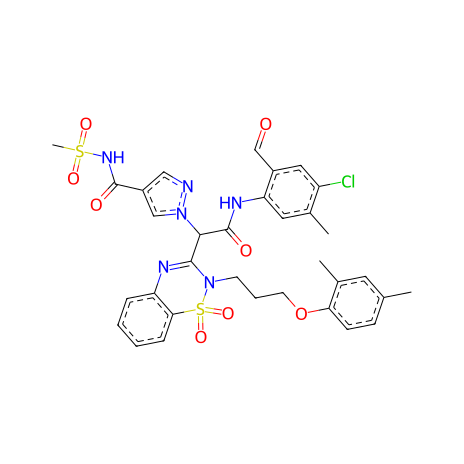 Cc1ccc(OCCCN2C(C(C(=O)Nc3cc(C)c(Cl)cc3C=O)n3cc(C(=O)NS(C)(=O)=O)cn3)=Nc3ccccc3S2(=O)=O)c(C)c1